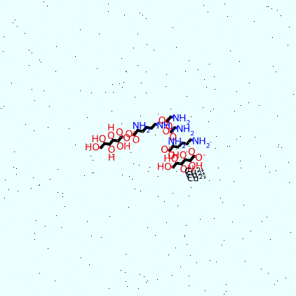 NCC(=O)[O-].NCC(=O)[O-].NCCCC[C@H](N)C(=O)[O-].NCCCC[C@H](N)C(=O)[O-].O=C([O-])[C@H](O)[C@@H](O)[C@H](O)[C@H](O)CO.O=C([O-])[C@H](O)[C@@H](O)[C@H](O)[C@H](O)CO.[Cu+2].[Cu+2].[Cu+2]